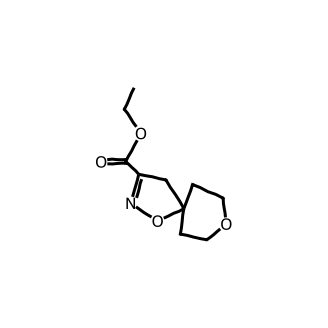 CCOC(=O)C1=NOC2(CCOCC2)C1